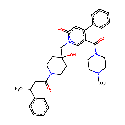 CC(CC(=O)N1CCC(O)(Cn2cc(C(=O)N3CCN(C(=O)O)CC3)c(-c3ccccc3)cc2=O)CC1)c1ccccc1